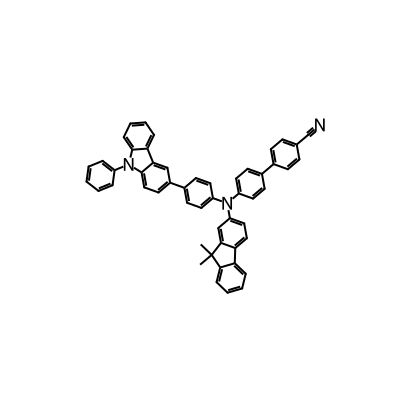 CC1(C)c2ccccc2-c2ccc(N(c3ccc(-c4ccc(C#N)cc4)cc3)c3ccc(-c4ccc5c(c4)c4ccccc4n5-c4ccccc4)cc3)cc21